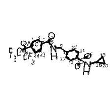 COC(c1ccc(C(=O)NCc2ccc(S(=O)(=O)NC3CC3)cc2)cc1)(C(F)(F)F)C(F)(F)F